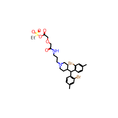 CCS(=O)(=O)OC(=O)COCC(=O)NCCCN1CCC(C(c2ccc(C)cc2Br)c2ccc(C)cc2Br)CC1